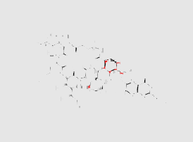 C[C@H](CCC(=O)N[C@H](C(=O)N[C@@H](CCC(=O)O)C(=O)N[C@H](C(=O)N[C@@H](CC(=O)O)C(=O)N[C@H](C(=O)N[C@@H](CS)C(=O)O)[C@@H](O)[C@H](O)[C@H](O)CO)[C@@H](O)[C@H](O)[C@H](O)CO)[C@@H](O)[C@H](O)[C@H](O)CO)NC(=O)c1ccc(NCc2cnc3nc(N)[nH]c(=O)c3n2)cc1